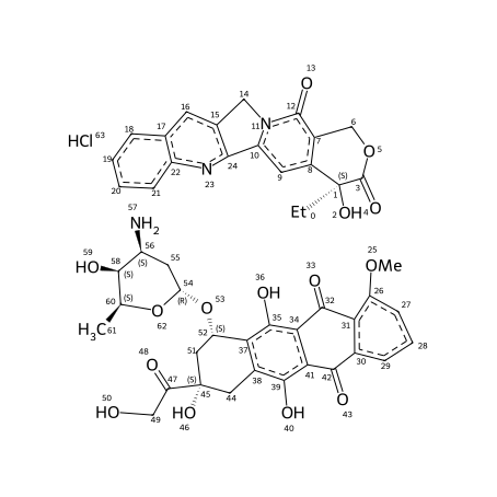 CC[C@@]1(O)C(=O)OCc2c1cc1n(c2=O)Cc2cc3ccccc3nc2-1.COc1cccc2c1C(=O)c1c(O)c3c(c(O)c1C2=O)C[C@@](O)(C(=O)CO)C[C@@H]3O[C@H]1C[C@H](N)[C@H](O)[C@H](C)O1.Cl